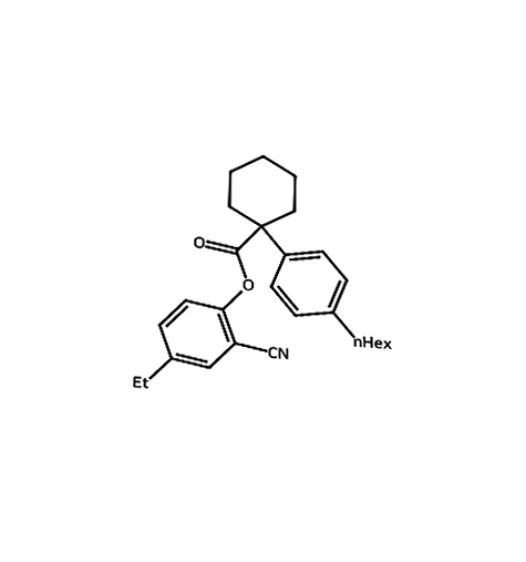 CCCCCCc1ccc(C2(C(=O)Oc3ccc(CC)cc3C#N)CCCCC2)cc1